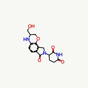 O=C1CCC(N2Cc3c(ccc4c3OCC(CO)N4)C2=O)C(=O)N1